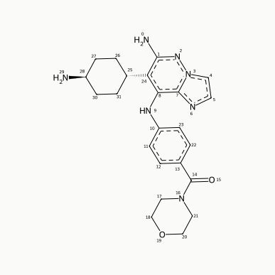 Nc1nn2ccnc2c(Nc2ccc(C(=O)N3CCOCC3)cc2)c1[C@H]1CC[C@H](N)CC1